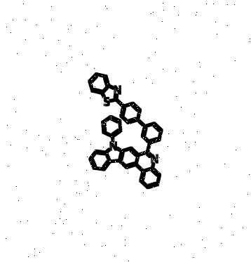 c1ccc(-n2c3ccccc3c3cc4c(cc32)c(-c2cccc(-c3ccc(-c5nc6ccccc6s5)cc3)c2)nc2ccccc24)cc1